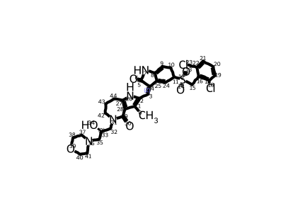 Cc1c(/C=C2\C(=O)NC3=CCC(S(=O)(=O)Cc4c(Cl)cccc4Cl)C=C32)[nH]c2c1C(=O)N(C[C@H](O)CN1CCOCC1)CCC2